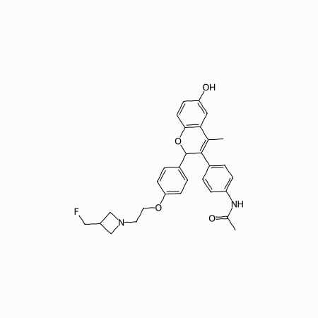 CC(=O)Nc1ccc(C2=C(C)c3cc(O)ccc3OC2c2ccc(OCCN3CC(CF)C3)cc2)cc1